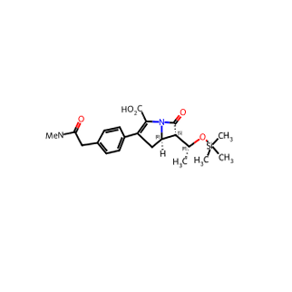 CNC(=O)Cc1ccc(C2=C(C(=O)O)N3C(=O)[C@H]([C@@H](C)O[Si](C)(C)C)[C@H]3C2)cc1